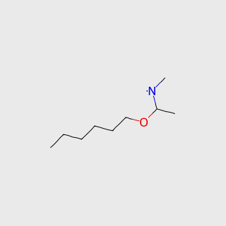 CCCCCCOC(C)[N]C